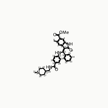 COC(=O)c1cc2c(cc1C)C(=C(Nc1ccc(C(=O)NCC3CCN(C)CC3)cc1)c1ccccc1)C(=O)N2